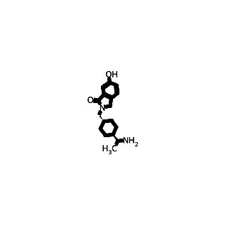 CC(N)[C@H]1CC[C@H](CN2Cc3ccc(O)cc3C2=O)CC1